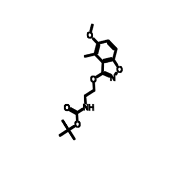 COc1ccc2onc(OCCNC(=O)OC(C)(C)C)c2c1C